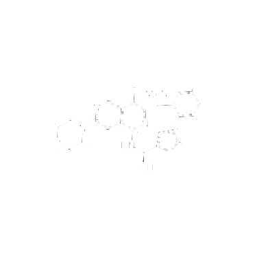 CNCc1ccccc1-c1csc([C@@H](C)Nc2ncc(F)c3cnc(N4CCOCC4)cc23)c1